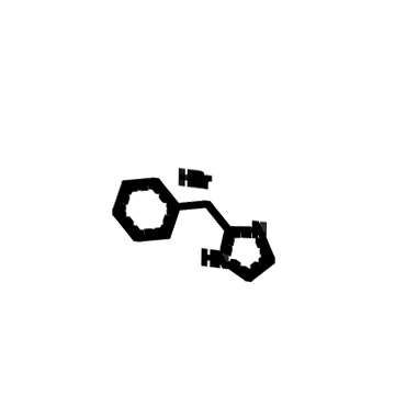 Br.c1ccc(Cc2ncc[nH]2)cc1